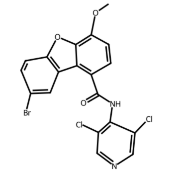 COc1ccc(C(=O)Nc2c(Cl)cncc2Cl)c2c1oc1ccc(Br)cc12